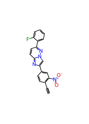 C#Cc1ccc(-c2cn3nc(-c4ccccc4F)ccc3n2)cc1[N+](=O)[O-]